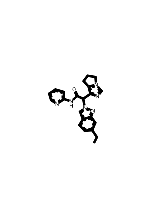 CCc1ccc2cn(C(C(=O)Nc3ccccn3)c3ncn4c3CCC4)nc2c1